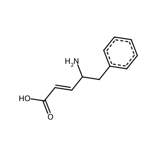 NC(C=CC(=O)O)Cc1ccccc1